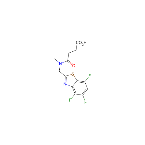 CN(Cc1nc2c(F)c(F)cc(F)c2s1)C(=O)CCC(=O)O